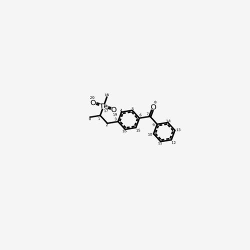 CC(Cc1ccc(C(=O)c2ccccc2)cc1)[Te](C)(=O)=O